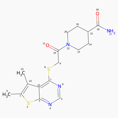 Cc1sc2ncnc(SCC(=O)N3CCC(C(N)=O)CC3)c2c1C